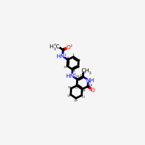 CC(=O)Nc1cccc(Nc2c(C)[nH]c(=O)c3c2CCCC3)c1